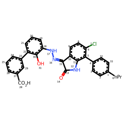 CCCc1ccc(-c2c(Cl)ccc3c2NC(=O)C3=NNc2cccc(-c3cccc(C(=O)O)c3)c2O)cc1